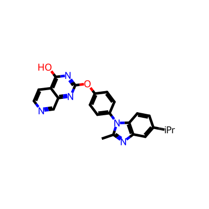 Cc1nc2cc(C(C)C)ccc2n1-c1ccc(Oc2nc(O)c3ccncc3n2)cc1